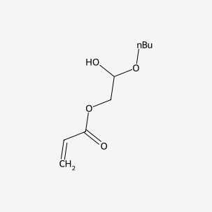 C=CC(=O)OCC(O)OCCCC